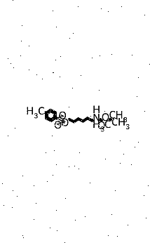 Cc1ccc(S(=O)(=O)OCCCCCCNC(=O)OC(C)(C)C)cc1